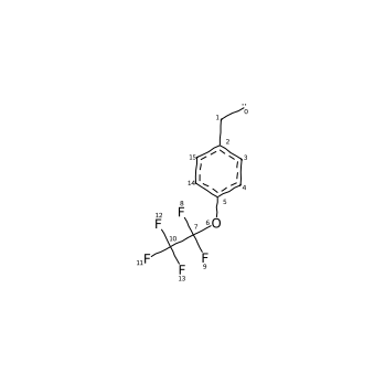 [CH]Cc1ccc(OC(F)(F)C(F)(F)F)cc1